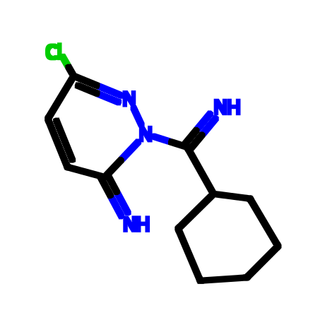 N=C(C1CCCCC1)n1nc(Cl)ccc1=N